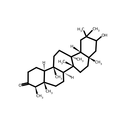 C[C@H]1C(=O)CC[C@@H]2[C@]1(C)CC[C@H]1[C@@]2(C)CC[C@@]2(C)[C@@H]3CC(C)(C)C(O)C[C@]3(C)CC[C@]12C